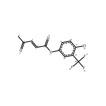 CC(=O)/C=C/C(=O)Oc1ccc(Cl)c(C(F)(F)F)c1